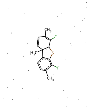 CC1=C(F)C2Sc3c(ccc(C)c3F)C2(C)C=C1